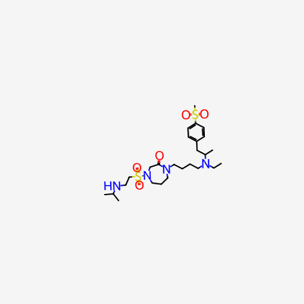 CCN(CCCCN1CCCN(S(=O)(=O)CCNC(C)C)CC1=O)C(C)Cc1ccc(S(C)(=O)=O)cc1